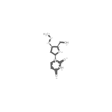 CSS[C@@H]1C[C@H](n2ccc(=O)[nH]c2=O)O[C@@H]1CO